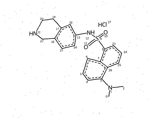 CN(C)c1cccc2c(S(=O)(=O)Nc3ccc4c(c3)CCNC4)cccc12.Cl